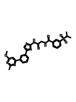 COc1cc(-c2cccc(-c3csc(NC(=O)CNC(=O)c4cccc(S(=O)(=O)C(C)C)c4)n3)c2)nc(C)n1